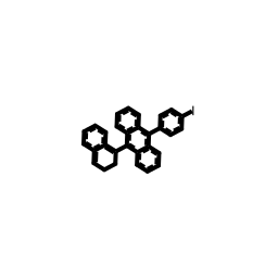 Ic1ccc(-c2c3ccccc3c(C3=c4ccccc4=CCC3)c3ccccc23)cc1